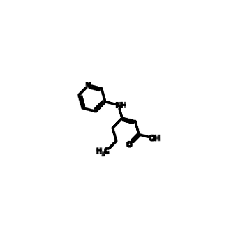 CCC/C(=C\C(=O)O)Nc1cccnc1